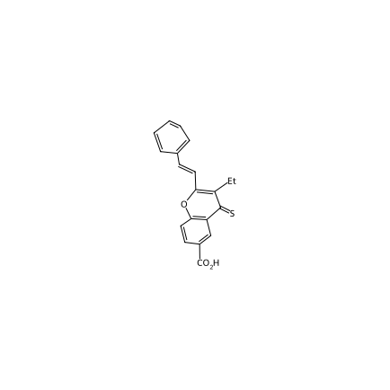 CCc1c(/C=C/c2ccccc2)oc2ccc(C(=O)O)cc2c1=S